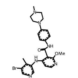 COc1nccc(Nc2cncc(Br)c2C)c1C(=O)Nc1ccc(N2CCN(C)CC2)cc1